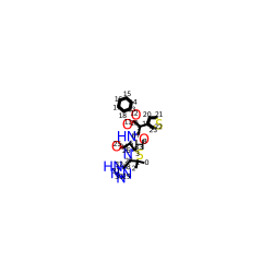 CC1(C)S[C@@H]2C(NC(=O)C(C(=O)Oc3ccccc3)c3ccsc3)C(=O)N2C1c1nnn[nH]1